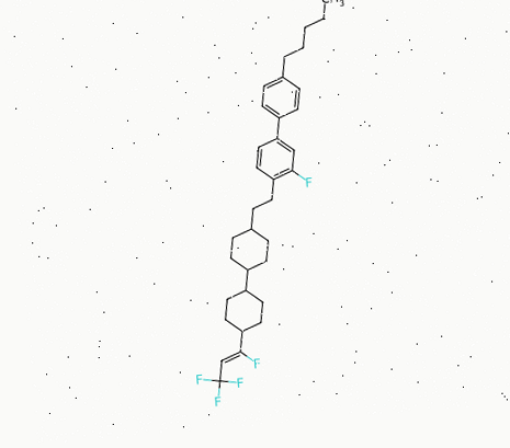 CCCCCc1ccc(-c2ccc(CCC3CCC(C4CCC(/C(F)=C/C(F)(F)F)CC4)CC3)c(F)c2)cc1